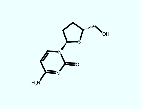 Nc1ccn([C@H]2CC[C@H](CO)S2)c(=O)n1